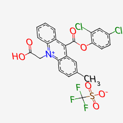 Cc1ccc2c(c1)c(C(=O)Oc1ccc(Cl)cc1Cl)c1ccccc1[n+]2CC(=O)O.O=S(=O)([O-])C(F)(F)F